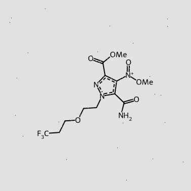 COC(=O)c1nn(CCOCCC(F)(F)F)c(C(N)=O)c1[N+](=O)OC